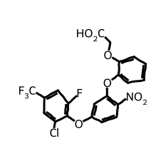 O=C(O)COc1ccccc1Oc1cc(Oc2c(F)cc(C(F)(F)F)cc2Cl)ccc1[N+](=O)[O-]